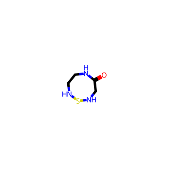 O=C1CNSNCCN1